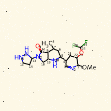 COC1N=CC(C2CC(C)C3C(=O)N(C4CCNN4)CC3N2)CC1OC(F)F